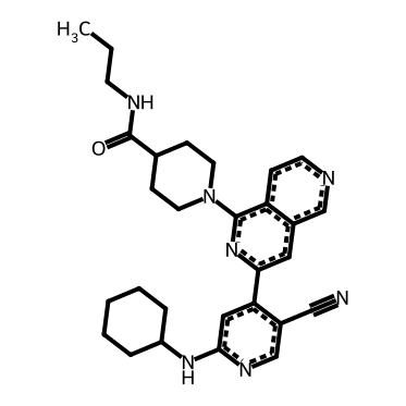 CCCNC(=O)C1CCN(c2nc(-c3cc(NC4CCCCC4)ncc3C#N)cc3cnccc23)CC1